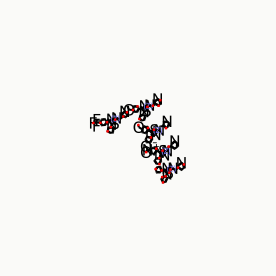 COc1ccc(-c2n/c(=N/Cc3cccnc3)sn2-c2ccccc2)cc1.COc1ccc(-n2s/c(=N\Cc3cccnc3)nc2-c2ccccc2)cc1.FC(F)(F)c1ccc(-c2n/c(=N/Cc3cccnc3)sn2-c2ccccc2)cc1.O=[N+]([O-])c1ccc(-n2s/c(=N\Cc3cccnc3)nc2-c2ccccc2)cc1.c1ccc(-c2n/c(=N/Cc3cccnc3)sn2-c2ccccc2)cc1